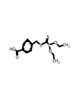 CCOP(OCC)C(=S)SCc1ccc(C(=O)O)cc1